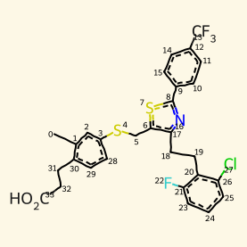 Cc1cc(SCc2sc(-c3ccc(C(F)(F)F)cc3)nc2CCc2c(F)cccc2Cl)ccc1CCC(=O)O